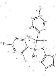 OC(Cc1cnco1)(c1ccc(F)cc1F)C(F)(F)c1ccc(Br)cn1